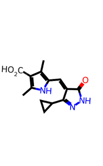 Cc1[nH]c(/C=C2/C(=O)NN=C2C2CC2)c(C)c1C(=O)O